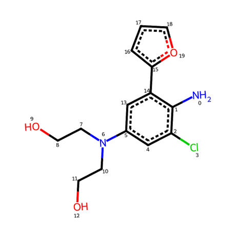 Nc1c(Cl)cc(N(CCO)CCO)cc1-c1ccco1